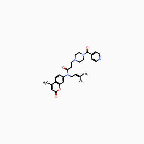 CC(C)=CCN(C(=O)CCN1CCN(C(=O)c2ccncc2)CC1)c1ccc2c(C)cc(=O)oc2c1